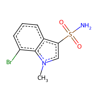 Cn1cc(S(N)(=O)=O)c2cccc(Br)c21